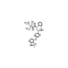 CC(C)(CN)[S@@+]([O-])NC1CC(c2cnc(Sc3ccnc(N)c3Cl)cn2)NCc2ccccc21